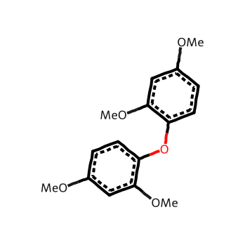 COc1ccc(Oc2ccc(OC)cc2OC)c(OC)c1